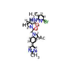 CC(=O)c1cn(CC(=O)N2C[C@H]3C[C@H]3[C@H]2C(=O)Nc2nc(Br)ccc2C)c2ccc(-c3cnc(C)nc3)cc12